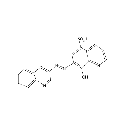 O=S(=O)(O)c1cc(/N=N/c2cnc3ccccc3c2)c(O)c2ncccc12